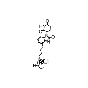 Cn1c(=O)n(C2CCC(=O)NC2=O)c2cccc(CCCCN3C[C@H]4CC[C@@H](C3)N4C(=O)O)c21